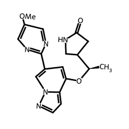 COc1cnc(-c2cc(O[C@H](C)C3CNC(=O)C3)c3ccnn3c2)nc1